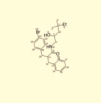 CCC(C)(C)CC(O)CNC(=O)C(Cc1ccccc1)Cc1ccc(Br)cc1